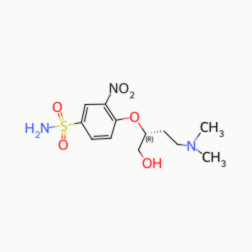 CN(C)CC[C@H](CO)Oc1ccc(S(N)(=O)=O)cc1[N+](=O)[O-]